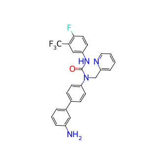 Nc1cccc(-c2ccc(N(Cc3ccccn3)C(=O)Nc3ccc(F)c(C(F)(F)F)c3)cc2)c1